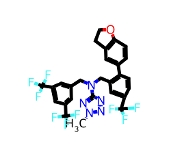 Cn1nnc(N(Cc2cc(C(F)(F)F)cc(C(F)(F)F)c2)Cc2cc(C(F)(F)F)ccc2-c2ccc3c(c2)CCO3)n1